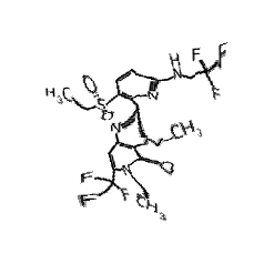 CCn1c(C(F)(F)F)cc2nc(-c3nc(NCC(F)(F)F)ccc3S(=O)(=O)CC)n(C)c2c1=O